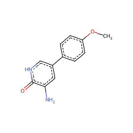 COc1ccc(-c2c[nH]c(=O)c(N)c2)cc1